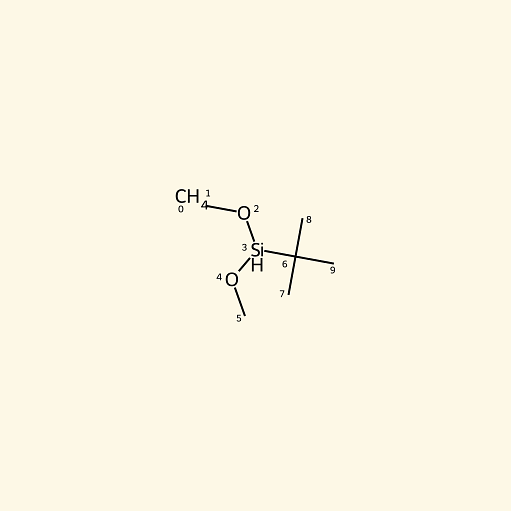 C.CO[SiH](OC)C(C)(C)C